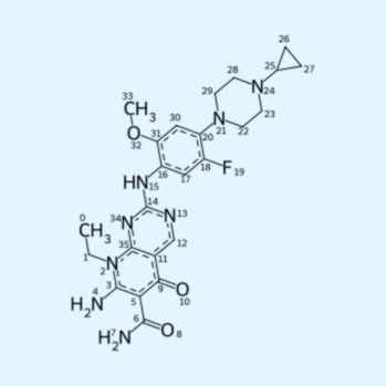 CCn1c(N)c(C(N)=O)c(=O)c2cnc(Nc3cc(F)c(N4CCN(C5CC5)CC4)cc3OC)nc21